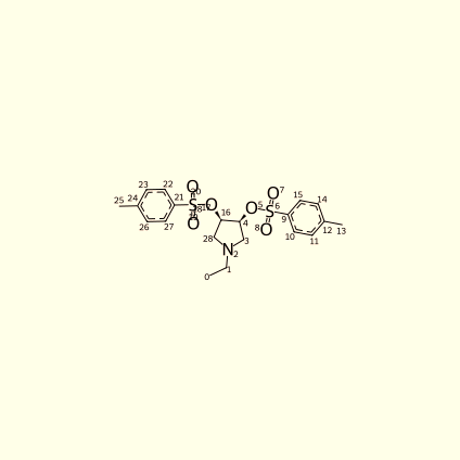 CCN1C[C@H](OS(=O)(=O)c2ccc(C)cc2)[C@H](OS(=O)(=O)c2ccc(C)cc2)C1